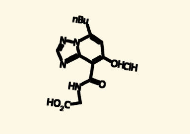 CCCCc1cc(O)c(C(=O)NCC(=O)O)c2ncnn12.Cl